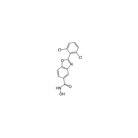 O=C(NO)c1ccc2oc(-c3c(Cl)cccc3Cl)nc2c1